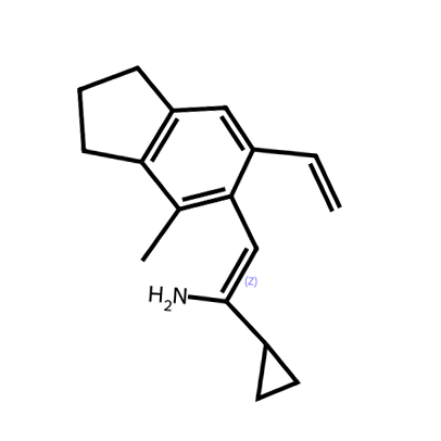 C=Cc1cc2c(c(C)c1/C=C(\N)C1CC1)CCC2